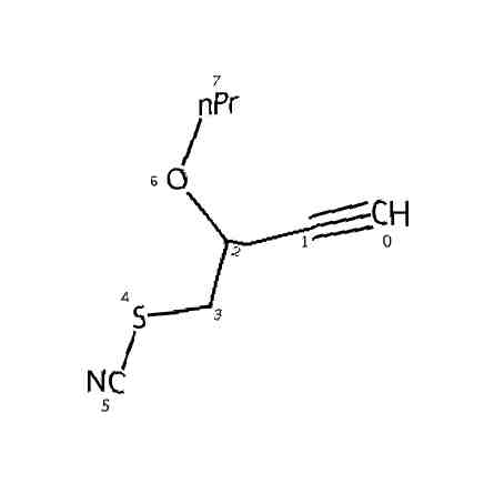 C#CC(CSC#N)OCCC